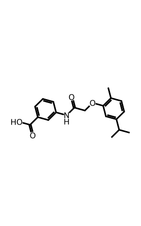 Cc1ccc(C(C)C)cc1OCC(=O)Nc1cccc(C(=O)O)c1